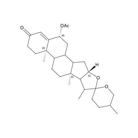 CC(=O)O[C@@H]1CC2C3C[C@@H]4OC5(CCC(C)CO5)C(C)C4[C@@]3(C)CCC2[C@@]2(C)CCC(=O)C=C12